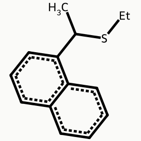 CCSC(C)c1cccc2ccccc12